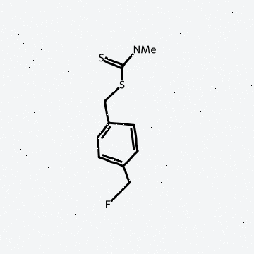 CNC(=S)SCc1ccc(CF)cc1